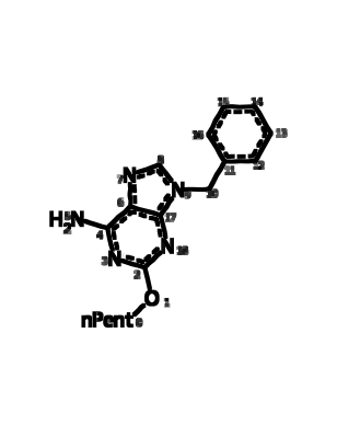 CCCCCOc1nc(N)c2ncn(Cc3ccccc3)c2n1